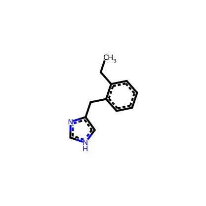 CCc1ccccc1Cc1c[nH]cn1